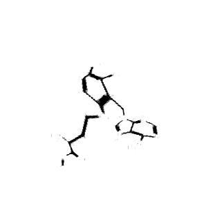 COC(=O)[C@@H](N)CCOc1ccc(F)c(F)c1Cn1cnc2c(N)ncnc21